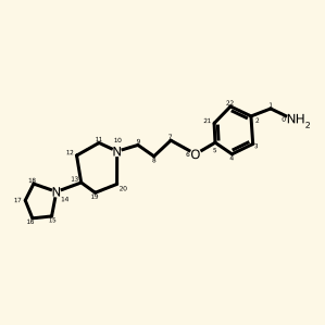 NCc1ccc(OCCCN2CCC(N3CCCC3)CC2)cc1